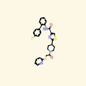 O=C(Nc1ccccc1-c1ccc(F)cc1)c1csc(C2CCN(C(=O)CSc3ccccn3)CC2)n1